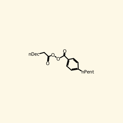 CCCCCCCCCCCC(=O)OOC(=O)c1ccc(CCCCC)cc1